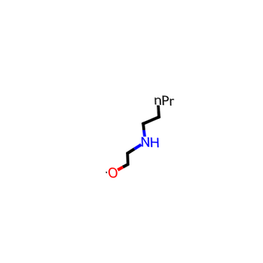 CCCCCNCC[O]